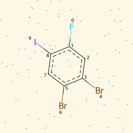 Fc1cc(Br)c(Br)cc1I